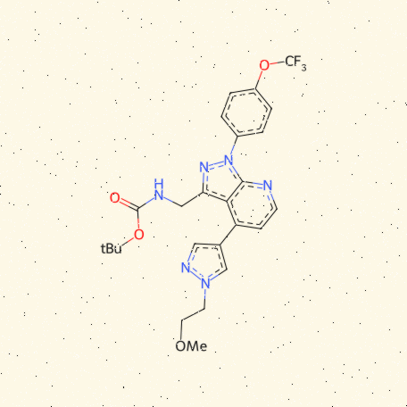 COCCn1cc(-c2ccnc3c2c(CNC(=O)OC(C)(C)C)nn3-c2ccc(OC(F)(F)F)cc2)cn1